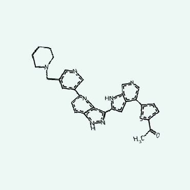 CC(=O)c1ccc(-c2cncc3[nH]c(-c4n[nH]c5ccc(-c6cncc(CN7CCCCC7)c6)nc45)cc23)s1